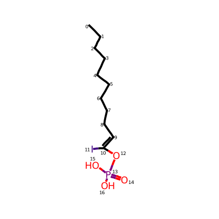 CCCCCCCCCC=C(I)OP(=O)(O)O